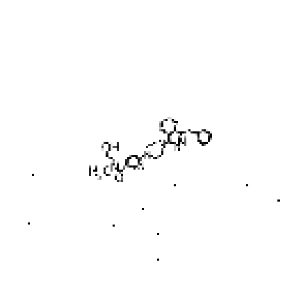 CN(CCO)C(=O)c1ccc(N2CCN(c3nnc(Cc4ccccc4)c4ccccc34)CC2)nc1